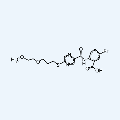 COCCOCCCSc1cnc(C(=O)Nc2ccc(Br)cc2C(=O)O)cn1